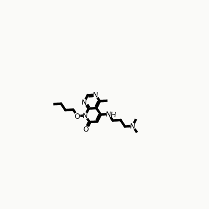 CCCCOn1c(=O)cc(NCCCN(C)C)c2c(C)ncnc21